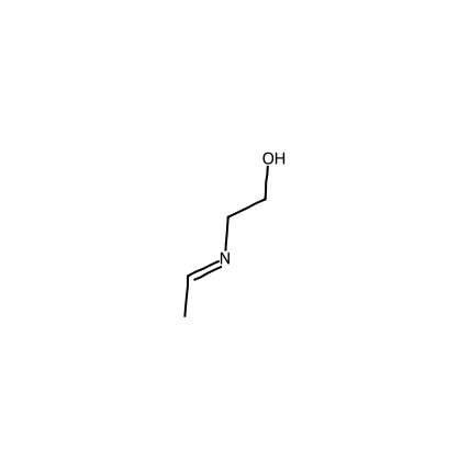 C/C=N/CCO